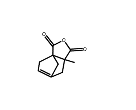 CC12CC3=CCC1(C3)C(=O)OC2=O